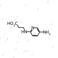 Nc1ccc(NCCC(=O)O)nc1